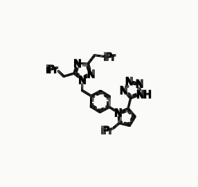 CC(C)Cc1nc(CC(C)C)n(Cc2ccc(-n3c(-c4nnn[nH]4)ccc3C(C)C)cc2)n1